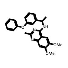 COc1cc2nc(C)nc(NC(C)c3cccc(Oc4ccccc4)c3)c2cc1OC